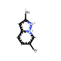 CC(C)c1ccc2cc(C(C)(C)C)nn2c1